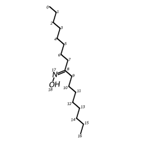 CCCCCCCCC(CCCCCCCC)=NO